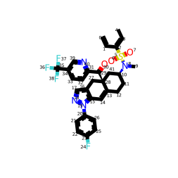 C=C/C(=C\C)S(=O)(=O)N(C)[C@H]1CCC2=Cc3c(cnn3-c3ccc(F)cc3)C[C@]2(C(=O)c2ccc(C(F)(F)F)cn2)C1